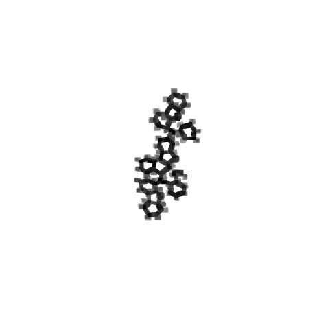 Cc1ccccc1N(c1cc2oc3cc(N(c4ccccc4)c4cccc5c4oc4ccccc45)ccc3c2c2ccccc12)c1cccc2c1oc1ccccc12